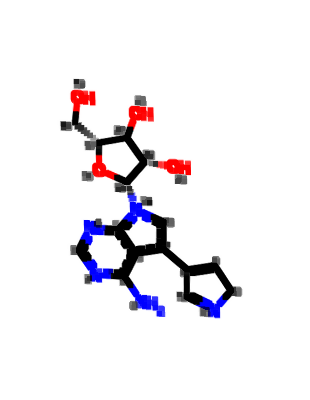 Nc1ncnc2c1c(C1=CCN=C1)cn2[C@@H]1O[C@H](CO)C(O)[C@@H]1O